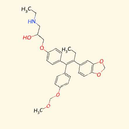 CCNCC(O)COc1ccc(C(=C(CC)c2ccc3c(c2)OCO3)c2ccc(OCOC)cc2)cc1